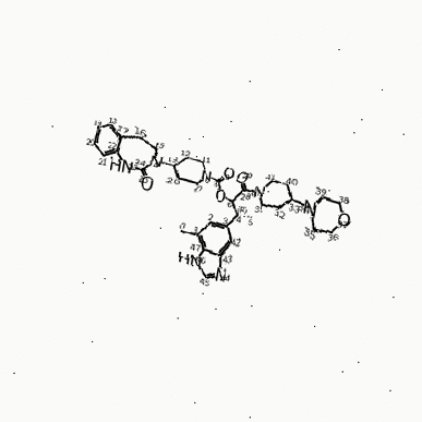 Cc1cc([C@@H](C)C(OC(=O)N2CCC(N3CCc4ccccc4NC3=O)CC2)C(=O)N2CCC(N3CCOCC3)CC2)cc2nc[nH]c12